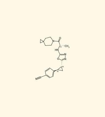 C[C@H](Nc1nnc([C@@H]2C[C@H]2c2ccc(C#N)cc2)o1)C(=O)N1CCC2(CC1)CC2